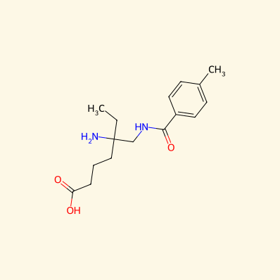 CCC(N)(CCCC(=O)O)CNC(=O)c1ccc(C)cc1